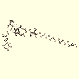 B[C@@H]1O[C@H](COC(=O)OCc2ccccc2)C(OP(=O)(O)OC)[C@@H]1C/C=C/CCCCNC(=O)NCCCCCCCCCCCCCCC